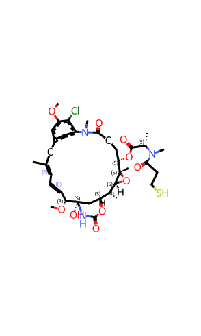 COc1cc2cc(c1Cl)N(C)C(=O)CC[C@H](OC(=O)[C@H](C)N(C)C(=O)CCS)[C@]1(C)O[C@H]1[C@H](C)[C@@H]1C[C@@](O)(NC(=O)O1)[C@H](OC)/C=C/C=C(\C)C2